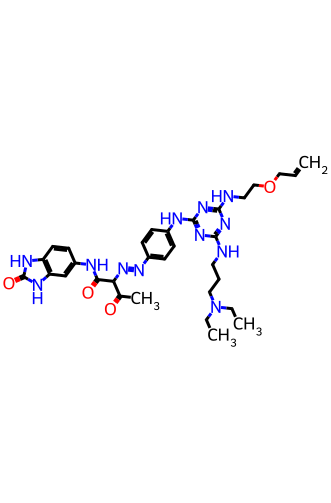 C=CCOCCNc1nc(NCCCN(CC)CC)nc(Nc2ccc(/N=N/C(C(C)=O)C(=O)Nc3ccc4[nH]c(=O)[nH]c4c3)cc2)n1